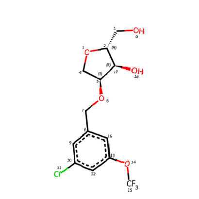 OC[C@H]1OC[C@H](OCc2cc(Cl)cc(OC(F)(F)F)c2)[C@@H]1O